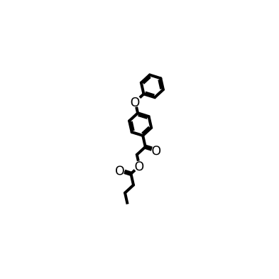 CCCC(=O)OCC(=O)c1ccc(Oc2ccccc2)cc1